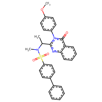 CC(c1nc2ccccc2c(=O)n1-c1ccc(OC(F)(F)F)cc1)N(C)S(=O)(=O)c1ccc(-c2ccccc2)cc1